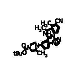 Cc1c(C#N)cccc1C(C)Nc1nc2nccn2c2ccc(N3CCN(C(=O)OC(C)(C)C)CC3C)cc12